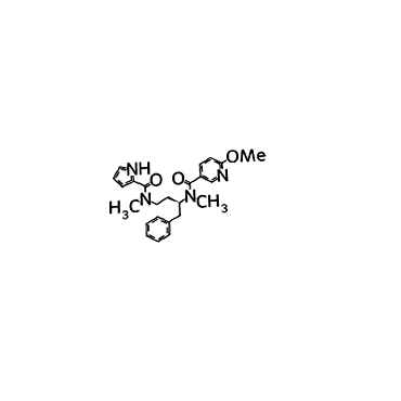 COc1ccc(C(=O)N(C)[C@H](CCN(C)C(=O)c2ccc[nH]2)Cc2ccccc2)cn1